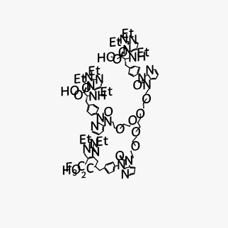 CCc1cnc(N(CC)CC)nc1N[C@@H](Cc1ccc(-n2c(=O)n(CCOCCOCC(COCCOCCn3c(=O)n(-c4ccc(C[C@H](Cc5nc(N(CC)CC)ncc5CC(F)(F)F)C(=O)O)cc4)c4ncccc43)OCCOCCn3c(=O)n(-c4ccc(C[C@H](Nc5nc(N(CC)CC)ncc5CC)C(=O)OO)cc4)c4ncccc43)c3cccnc32)cc1)C(=O)OO